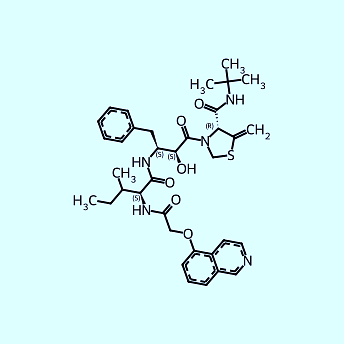 C=C1SCN(C(=O)[C@@H](O)[C@H](Cc2ccccc2)NC(=O)[C@@H](NC(=O)COc2cccc3cnccc23)C(C)CC)[C@@H]1C(=O)NC(C)(C)C